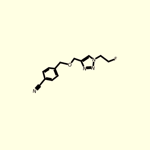 N#Cc1ccc(COCc2cn(CCF)nn2)cc1